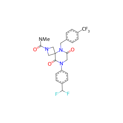 CNC(=O)N1CC2(C1)C(=O)N(c1ccc(C(F)F)cc1)CC(=O)N2Cc1ccc(C(F)(F)F)cc1